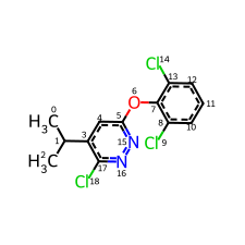 CC(C)c1cc(Oc2c(Cl)cccc2Cl)nnc1Cl